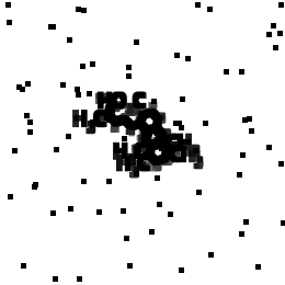 CC(C=CCC1CCCc2cc3c(cc21)C(C)(C)CCC3(C)C)=CC(=O)O